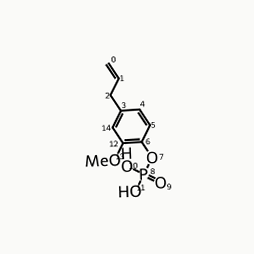 C=CCc1ccc(OP(=O)(O)O)c(OC)c1